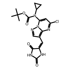 CC(C)(C)OC(=O)N(c1cc(Cl)nc2c(C=C3NC(=O)NC3=O)cnn12)C1CC1